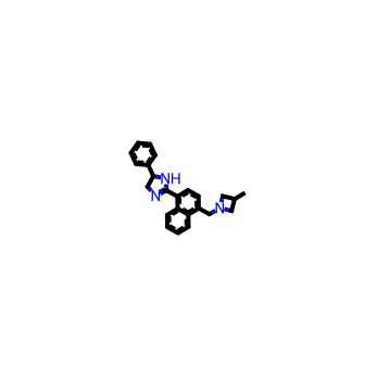 CC1CN(Cc2ccc(C3=NCC(c4ccccc4)N3)c3ccccc23)C1